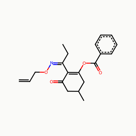 C=CCO/N=C(/CC)C1=C(OC(=O)c2ccccc2)CC(C)CC1=O